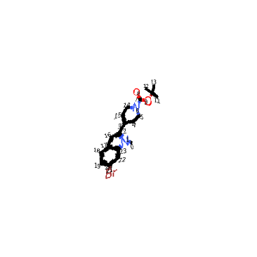 Cn1c(C2CCN(C(=O)OC(C)(C)C)CC2)cc2ccc(Br)cc21